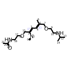 C=N/C(=C\C=C(/C)COCCNC(C)C)COCCNC(C)=O